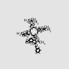 CCOP(=O)(CN1CCN(CC(=O)OC(C)(C)C)CCN(CC(=O)OC(C)(C)C)CCN(CC(=O)OC(C)(C)C)CC1)C(CC(=O)OCc1ccccc1)c1ccc(OC)cc1